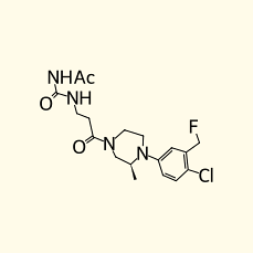 CC(=O)NC(=O)NCCC(=O)N1CCN(c2ccc(Cl)c(CF)c2)[C@@H](C)C1